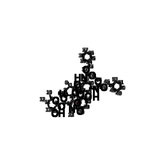 CC1C[C@@H]2OC(O[C@H]3OC(C)[C@@H](C)C[C@@H]3O)C3C(OC(=O)N3C)C2O[C@@H]1O[C@@H]1C(NC(=O)OCc2ccccc2)C[C@@H](NC(=O)OCc2ccccc2)C2OC3(CCCCC3)O[C@H]21